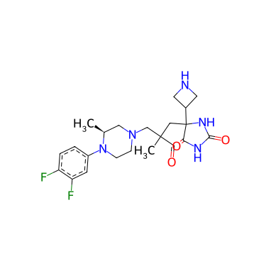 C[C@H]1CN(CC(C)(C=O)CC2(C3CNC3)NC(=O)NC2=O)CCN1c1ccc(F)c(F)c1